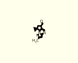 Cc1cc2ncc3c(n2n1)C1(CC1)CC3C=O